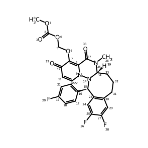 COC(=O)OCOc1c2n(ccc1=O)N1[C@H](c3ccc(F)cc3)c3cc(F)c(F)cc3CCC[C@H]1N(C)C2=O